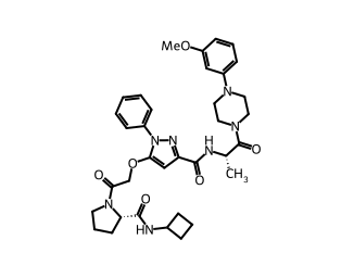 COc1cccc(N2CCN(C(=O)[C@H](C)NC(=O)c3cc(OCC(=O)N4CCC[C@H]4C(=O)NC4CCC4)n(-c4ccccc4)n3)CC2)c1